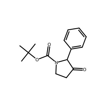 CC(C)(C)OC(=O)N1CCC(=O)C1c1ccccc1